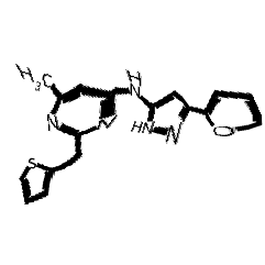 Cc1cc(Nc2cc(-c3ccco3)n[nH]2)nc(Cc2cccs2)n1